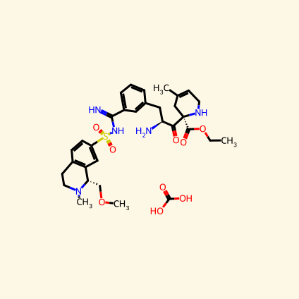 CCOC(=O)[C@]1(C(=O)[C@@H](N)Cc2cccc(C(=N)NS(=O)(=O)c3ccc4c(c3)[C@H](COC)N(C)CC4)c2)CC(C)=CCN1.O=C(O)O